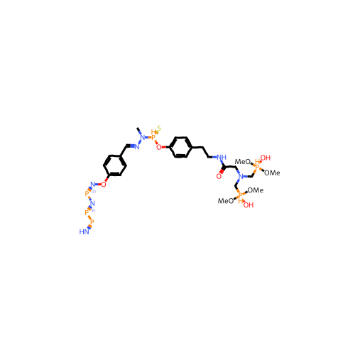 CO[PH](O)(CN(CC(=O)NCCc1ccc(O[PH](=S)N(C)N=Cc2ccc(O/N=P\N=P\P=N)cc2)cc1)C[PH](O)(OC)OC)OC